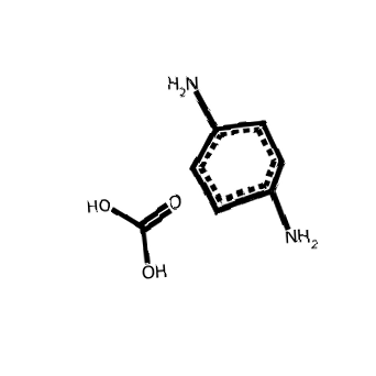 Nc1ccc(N)cc1.O=C(O)O